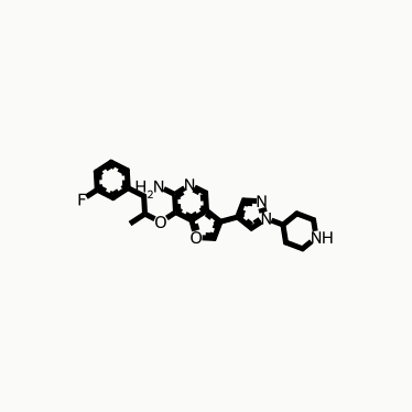 CC(Cc1cccc(F)c1)Oc1c(N)ncc2c(-c3cnn(C4CCNCC4)c3)coc12